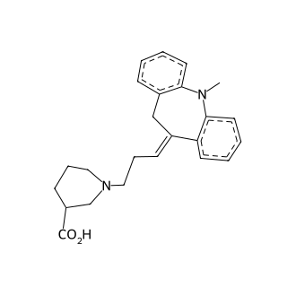 CN1c2ccccc2CC(=CCCN2CCCC(C(=O)O)C2)c2ccccc21